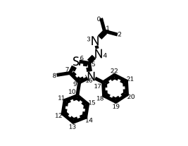 CC(C)=N/N=c1\sc(C)c(-c2ccccc2)n1-c1ccccc1